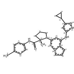 Bc1cnc(NC(=O)[C@]2(C)CCCN2c2nc(Nc3cc(C4CC4)n[nH]3)c3cccn3n2)cn1